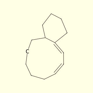 C1=CCCCCCC2CCCCC2=C1